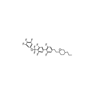 CCCC1CCC(CCc2cc(F)c(-c3cc(F)c(C(F)(F)Oc4cc(F)c(F)c(F)c4)c(F)c3)c(F)c2)OC1